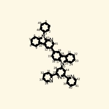 c1ccc(-n2c3ccccc3c3cc(-c4ccc5c(c4)c4ccccc4n5-c4cc(-c5ccccn5)nc(-c5ccccn5)c4)cnc32)cc1